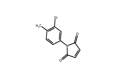 CCc1cc(N2C(=O)C=CC2=O)ccc1C